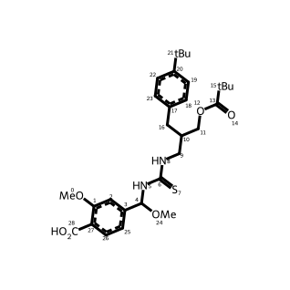 COc1cc(C(NC(=S)NCC(COC(=O)C(C)(C)C)Cc2ccc(C(C)(C)C)cc2)OC)ccc1C(=O)O